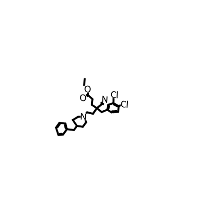 CCOC(=O)CCC(C#N)(CCN1CCC(Cc2ccccc2)CC1)Cc1ccc(Cl)c(Cl)c1